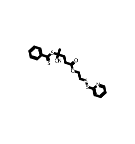 CC(C#N)(CCC(=O)OCCSSc1ccccn1)SC(=S)c1ccccc1